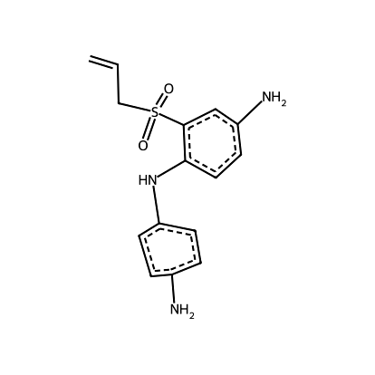 C=CCS(=O)(=O)c1cc(N)ccc1Nc1ccc(N)cc1